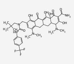 CN(C)c1cc(CN(CC(C)(C)C)C(=O)Nc2ccc(C(F)(F)F)cc2)c(O)c2c1CC1CC3C(N(C)C)C(O)=C(C(N)=O)C(=O)C3(O)C(O)=C1C2=O